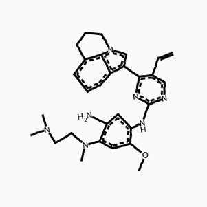 C=Cc1cnc(Nc2cc(N)c(N(C)CCN(C)C)cc2OC)nc1-c1cn2c3c(cccc13)CCC2